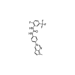 CS1=C2N=CN(c3ccc(NC(=O)Nc4cc(C(F)(F)F)ccc4F)cc3)C=C2C=C1